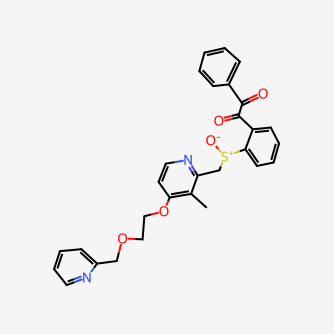 Cc1c(OCCOCc2ccccn2)ccnc1C[S+]([O-])c1ccccc1C(=O)C(=O)c1ccccc1